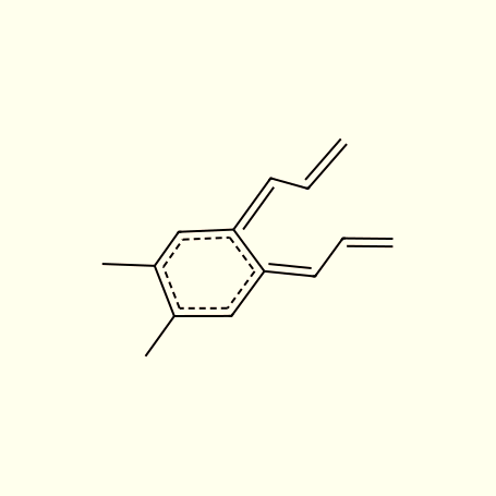 C=C/C=c1/cc(C)c(C)c/c1=C/C=C